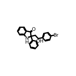 O=C1c2ccccc2NC1(CC(O)c1ccc(Br)cc1)c1ccccc1